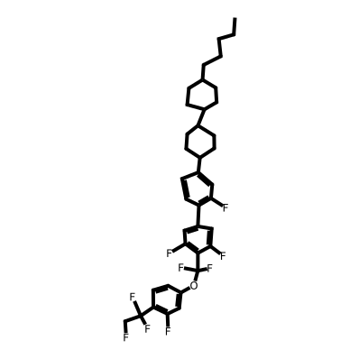 CCCCCC1CCC(C2CCC(c3ccc(-c4cc(F)c(C(F)(F)Oc5ccc(C(F)(F)CF)c(F)c5)c(F)c4)c(F)c3)CC2)CC1